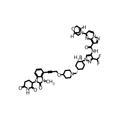 B[C@]1(n2cc(NC(=O)c3cnn4ccc(N5C[C@H]6C[C@@H]5CO6)nc34)c(C(F)F)n2)CC[C@H](CN2CCC(OCC#Cc3cccc4c3n(C)c(=O)n4C3CCC(=O)NC3=O)CC2)CC1